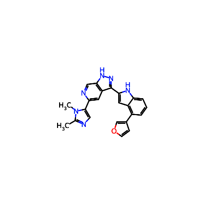 Cc1ncc(-c2cc3c(-c4cc5c(-c6ccoc6)cccc5[nH]4)n[nH]c3cn2)n1C